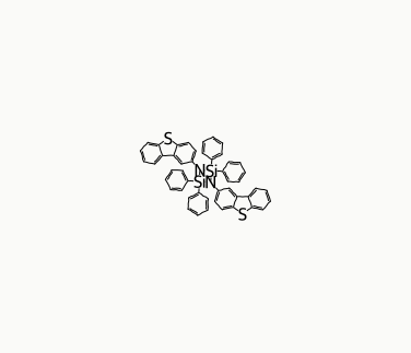 c1ccc([Si]2(c3ccccc3)N(c3ccc4sc5ccccc5c4c3)[Si](c3ccccc3)(c3ccccc3)N2c2ccc3sc4ccccc4c3c2)cc1